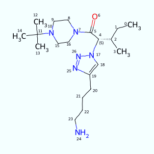 CCC(C)[C@@H](C(=O)N1CCN(C(C)(C)C)CC1)n1cc(CCCCN)nn1